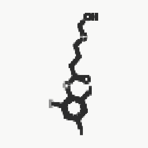 O=C(CCCOCO)Oc1c(I)cc(I)cc1I